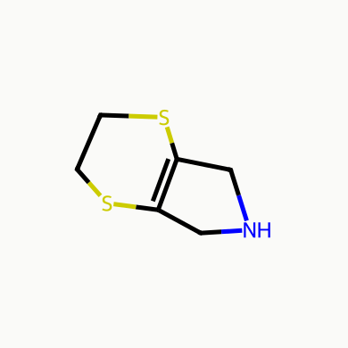 C1CSC2=C(CNC2)S1